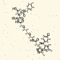 Cc1ccc(CNC(=O)[C@@H]2C[C@@H](O)CN2C(=O)[C@@H](NC(=O)COCCCOCCNC(=O)CC2N=C(c3ccc(Cl)cc3)c3c(sc(C)c3C)-n3c(C)nnc32)C(C)(C)C)cc1